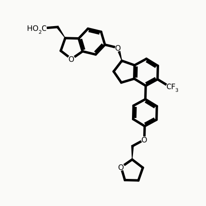 O=C(O)C[C@@H]1COc2cc(O[C@@H]3CCc4c3ccc(C(F)(F)F)c4-c3ccc(OC[C@H]4CCCO4)cc3)ccc21